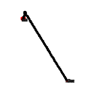 CCCCCCCCCCCCCCCCCCCCCCCCCCCCCCCCCCCCCCCCCCCCCCCCCCCCCCCCCCCCCCCCCCCCCCCCCCCCCCCCCCCCCCCCCCCCCC#C[C@H](C/C=C/C(=O)OC(C)(C)C)c1ccccc1